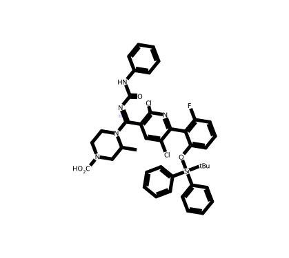 CC1CN(C(=O)O)CCN1/C(=N/C(=O)Nc1ccccc1)c1cc(Cl)c(-c2c(F)cccc2O[Si](c2ccccc2)(c2ccccc2)C(C)(C)C)nc1Cl